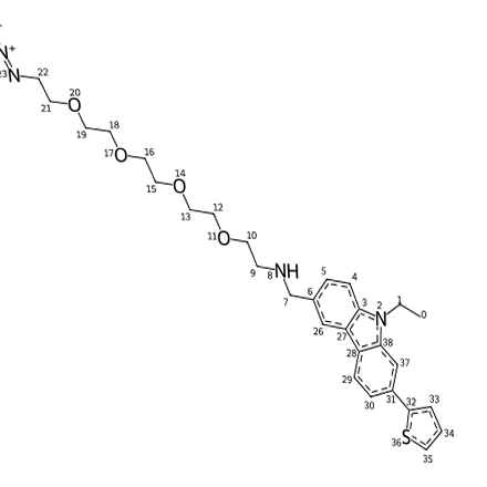 CCn1c2ccc(CNCCOCCOCCOCCOCCN=[N+]=[N-])cc2c2ccc(-c3cccs3)cc21